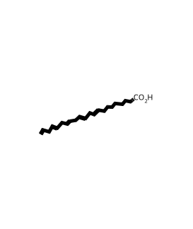 C=CCC=CCC=CCC=CCC=CCCCCCCCC(=O)O